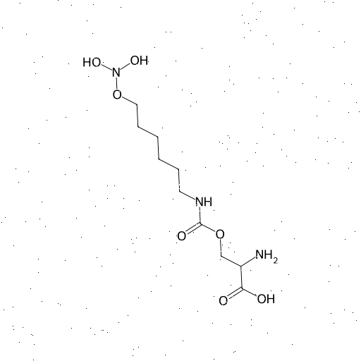 NC(COC(=O)NCCCCCCON(O)O)C(=O)O